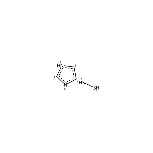 SS.c1c[nH]cn1